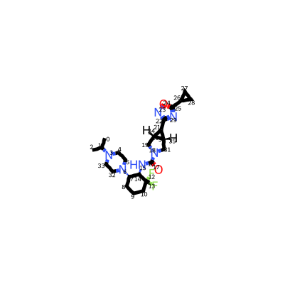 CC(C)N1CCN([C@H]2CCCC(F)(F)[C@@H]2NC(=O)N2C[C@@H]3C(c4noc(C5CC5)n4)[C@@H]3C2)CC1